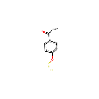 COC(=O)c1ccc(OSS)cc1